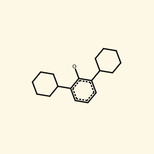 [O]c1c(C2CCCCC2)cccc1C1CCCCC1